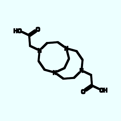 O=C(O)CN1CCN2CCN(CC1)CCN(CC(=O)O)CC2